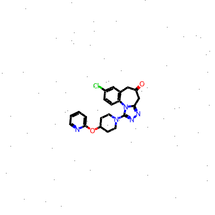 O=C1Cc2cc(Cl)ccc2-n2c(nnc2N2CCC(Oc3ccccn3)CC2)C1